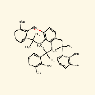 CCCCc1cccc(C(C)(C)Cc2ccc(O)c(CC(C)(C)c3cccc(CCCC)c3CCCC)c2CC(C)(C)c2cccc(CCCC)c2CCCC)c1CCCC